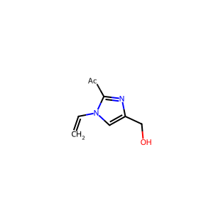 C=Cn1cc(CO)nc1C(C)=O